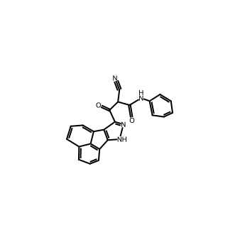 N#CC(C(=O)Nc1ccccc1)C(=O)c1n[nH]c2c1-c1cccc3cccc-2c13